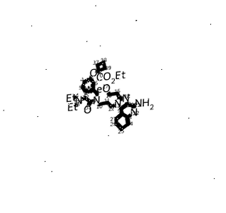 CCOC(=O)C1(Oc2cccc(CN(CCCn3c(CCOC)nc4c(N)nc5ccccc5c43)C(=O)CN(CC)CC)c2)CCC1